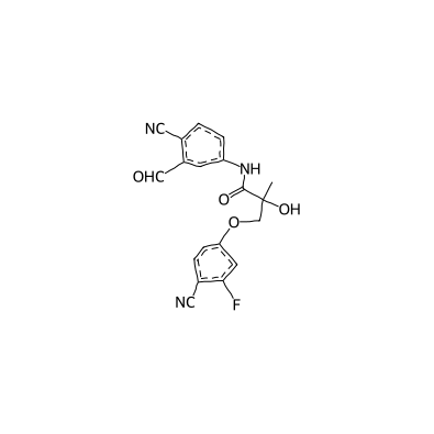 CC(O)(COc1ccc(C#N)c(F)c1)C(=O)Nc1ccc(C#N)c(C=O)c1